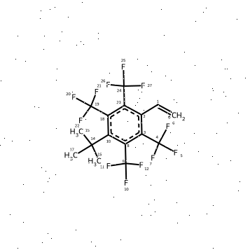 C=Cc1c(C(F)(F)F)c(C(F)(F)F)c(C(C)(C)C)c(C(F)(F)F)c1C(F)(F)F